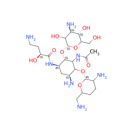 CC(=O)NC1C(O[C@H]2OC(CN)CCC2N)[C@@H](N)C[C@@H](NC(=O)[C@@H](O)CCN)[C@@H]1O[C@H]1OC(CO)[C@@H](O)[C@H](N)C1O